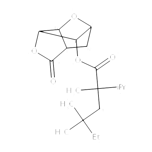 CCC(C)(C)CC(C)(C(=O)OC1C2CC3C(=O)OC1C3O2)C(C)C